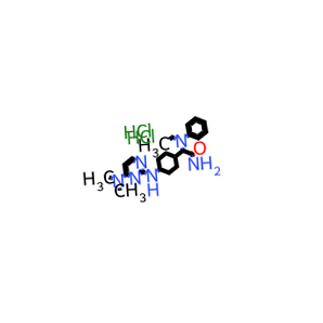 CCN(c1ccccc1)C(C(N)=O)C1CCC(Nc2nccc(N(C)C)n2)CC1.Cl.Cl